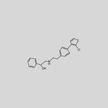 OC(CNCCc1ccc(-c2ccsc2Cl)cc1)c1ccccc1